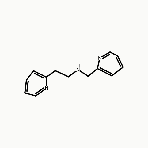 c1ccc(CCNCc2ccccn2)nc1